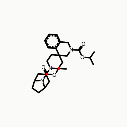 CCOC(=O)N1C2CCC1CC(N1CCC3(CC1)CN(C(=O)OC(C)C)Cc1ccccc13)C2